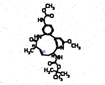 COC(=O)Nc1ccc2c(c1)NC(=O)[C@H](C)/C=C/C[C@H](NC(=O)OC(C)(C)C)c1cc-2cc(OC)n1